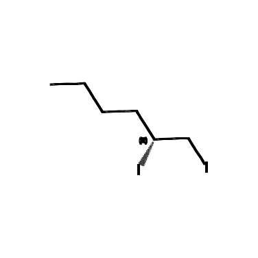 CCCC[C@@H](I)CI